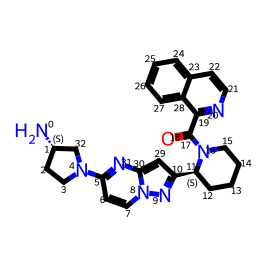 N[C@H]1CCN(c2ccn3nc([C@@H]4CCCCN4C(=O)c4nccc5ccccc45)cc3n2)C1